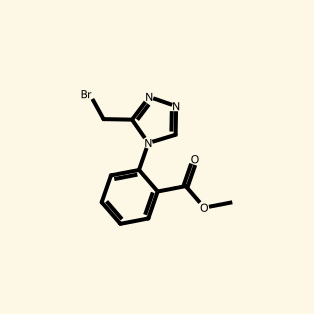 COC(=O)c1ccccc1-n1cnnc1CBr